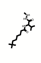 CNNC(=O)C(NC(=O)CCCCCC(C)(C)C)C(C)C